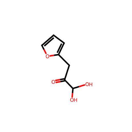 O=C(Cc1ccco1)C(O)O